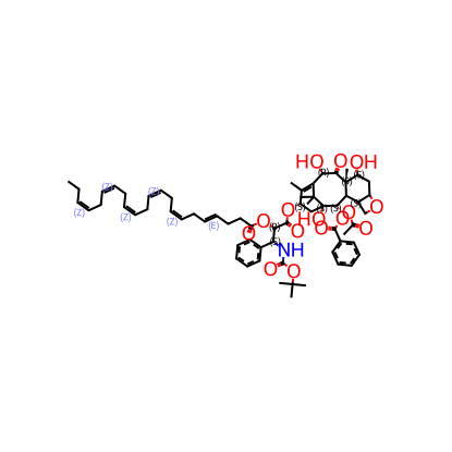 CC/C=C\C/C=C\C/C=C\C/C=C\C/C=C\C/C=C/CCC(=O)O[C@@H](C(=O)O[C@H]1C[C@@]2(O)[C@@H](OC(=O)c3ccccc3)C3[C@]4(OC(C)=O)COC4C[C@H](O)[C@@]3(C)C(=O)[C@H](O)C(=C1C)C2(C)C)[C@@H](NC(=O)OC(C)(C)C)c1ccccc1